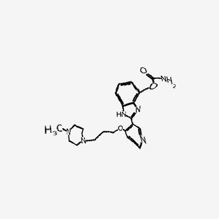 CN1CCN(CCCOc2ccncc2-c2nc3c(OC(N)=O)cccc3[nH]2)CC1